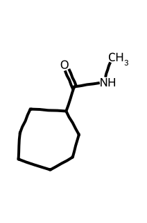 CNC(=O)C1CCCCCC1